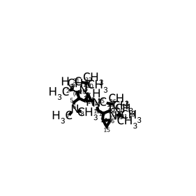 CC(C)[C@@H]1C(CN(C)C)C2C(NCC3C4CC4N(C(C)(C)C)[C@@H]3C(C)(C)C)C2N1C(C)(C)C